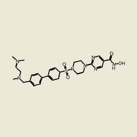 CN(C)CCN(C)Cc1ccc(C2=CCC(S(=O)(=O)N3CCN(c4ncc(C(=O)NO)cn4)CC3)C=C2)cc1